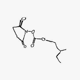 CCC(C)CCOC(=O)ON1C(=O)CCC1=O